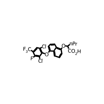 CCCC(Oc1cccc2c(Oc3c(Cl)cc(C(F)(F)F)c(F)c3Cl)cccc12)C(=O)O